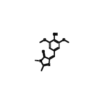 COc1cc(/C=C2/N=C(C)N(C)C2=O)cc(OC)c1O